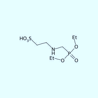 CCOP(=O)(CNCCS(=O)(=O)O)OCC